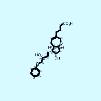 O=C(O)CCCC1=CC[C@@H]2[C@@H](/C=C/[C@@H](O)COc3ccccc3)[C@H](O)C[C@@H]2OC1